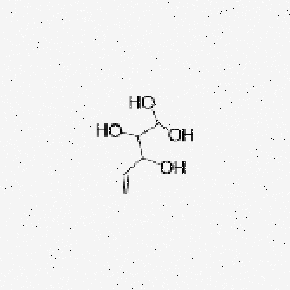 C=CC(O)C(O)C(O)O